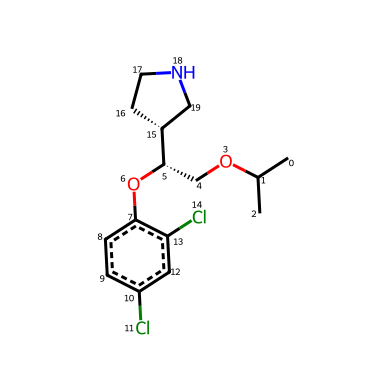 CC(C)OC[C@H](Oc1ccc(Cl)cc1Cl)[C@@H]1CCNC1